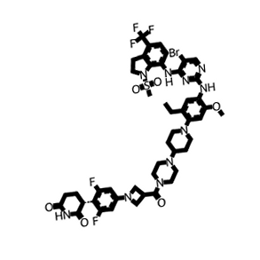 CCc1cc(Nc2ncc(Br)c(Nc3ccc(C(F)(F)F)c4c3N(S(C)(=O)=O)CC4)n2)c(OC)cc1N1CCC(N2CCN(C(=O)C3CN(c4cc(F)c([C@H]5CCC(=O)NC5=O)c(F)c4)C3)CC2)CC1